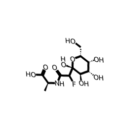 C[C@H](NC(=O)C(F)[C@]1(O)O[C@H](CO)[C@H](O)[C@H](O)[C@H]1O)C(=O)O